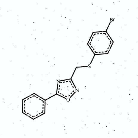 Brc1ccc(SCc2noc(-c3ccccc3)n2)cc1